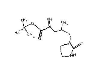 CC(CC(=N)C(=O)OC(C)(C)C)CN1CCNC1=O